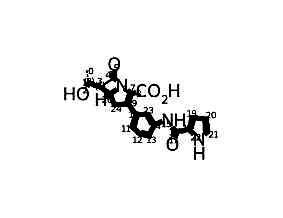 C[C@@H](O)[C@H]1C(=O)N2C(C(=O)O)=C(c3cccc(NC(=O)c4ccc[nH]4)c3)C[C@H]12